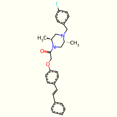 C[C@@H]1CN(C(=O)COc2ccc(/C=C/c3ccccc3)cc2)[C@@H](C)CN1Cc1ccc(F)cc1